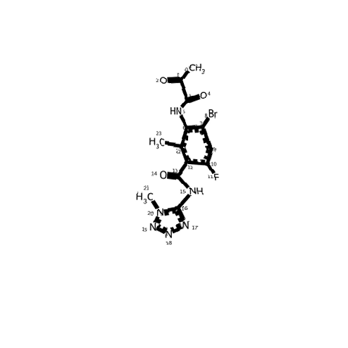 CC(=O)C(=O)Nc1c(Br)cc(F)c(C(=O)Nc2nnnn2C)c1C